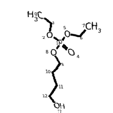 CCOP(=O)(OCC)OCCCCO